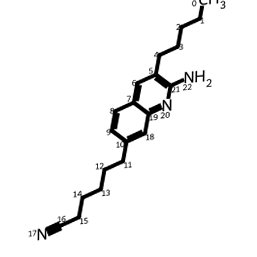 CCCCCc1cc2ccc(CCCCCC#N)cc2nc1N